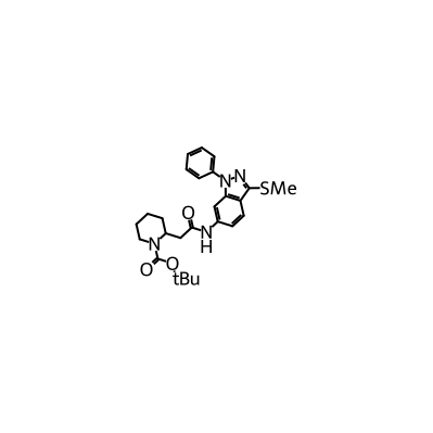 CSc1nn(-c2ccccc2)c2cc(NC(=O)CC3CCCCN3C(=O)OC(C)(C)C)ccc12